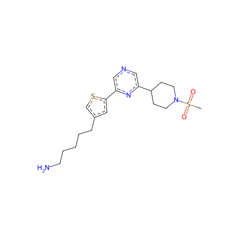 CS(=O)(=O)N1CCC(c2cncc(-c3cc(CCCCCN)cs3)n2)CC1